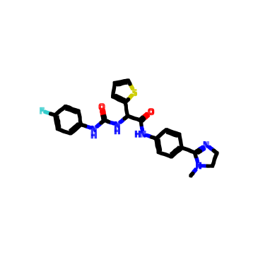 CN1CCN=C1c1ccc(NC(=O)C(NC(=O)Nc2ccc(F)cc2)c2cccs2)cc1